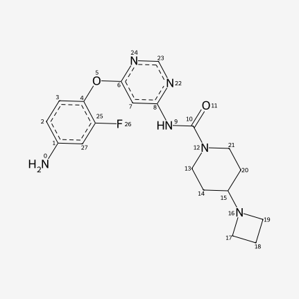 Nc1ccc(Oc2cc(NC(=O)N3CCC(N4CCC4)CC3)ncn2)c(F)c1